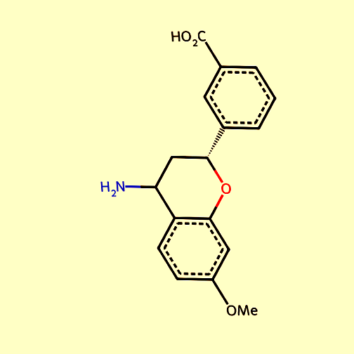 COc1ccc2c(c1)O[C@@H](c1cccc(C(=O)O)c1)CC2N